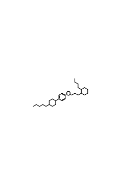 CCCCCC1CCC(c2ccc(OCCCC3CCCCC3CCCC)cc2)CC1